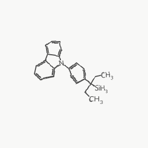 CCC([SiH3])(CC)c1ccc(-n2c3ccccc3c3ccccc32)cc1